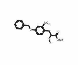 CCOC(Cc1ccc(OCc2ccccc2)cc1[N+](=O)[O-])C(=O)OC